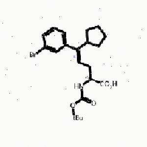 CC(C)(C)OC(=O)N[C@@H](C/C=C(/c1cccc(Br)c1)C1CCCC1)C(=O)O